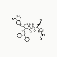 NC(=O)c1cc[n+](CC2=C(C(=O)OC(c3ccccc3)c3ccccc3)N3C(=O)[C@@H](NC(=O)C(=NOC4CC4)c4csc(NC=O)n4)[C@@H]3SC2)cc1